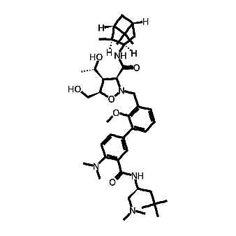 COc1c(CN2O[C@@H](CO)[C@@H]([C@H](C)O)[C@H]2C(=O)N[C@@H]2C[C@H]3C[C@@H]([C@@H]2C)C3(C)C)cccc1-c1ccc(N(C)C)c(C(=O)N[C@H](CN(C)C)CC(C)(C)C)c1